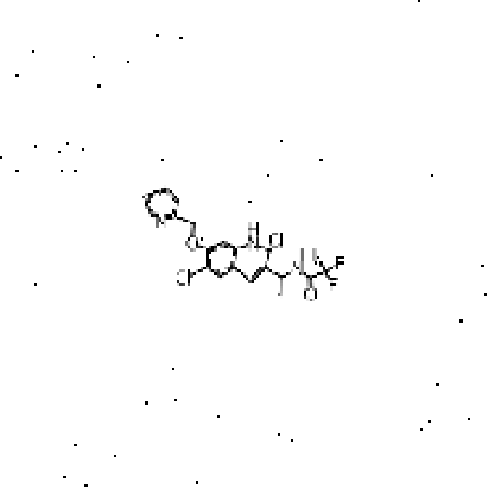 C[C@H](NC(=O)C(F)(F)F)C1=Cc2cc(Cl)c(OCc3ccccn3)cc2NC1Cl